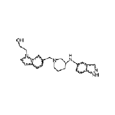 OCCn1ccc2ccc(CN3CCCC(Nc4ccc5[nH]ncc5c4)C3)cc21